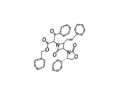 O=C(OCc1ccccc1)C(C(=O)c1ccccc1)N1C(=O)C(N2C(=O)OC[C@@H]2c2ccccc2)C1C=Cc1ccccc1